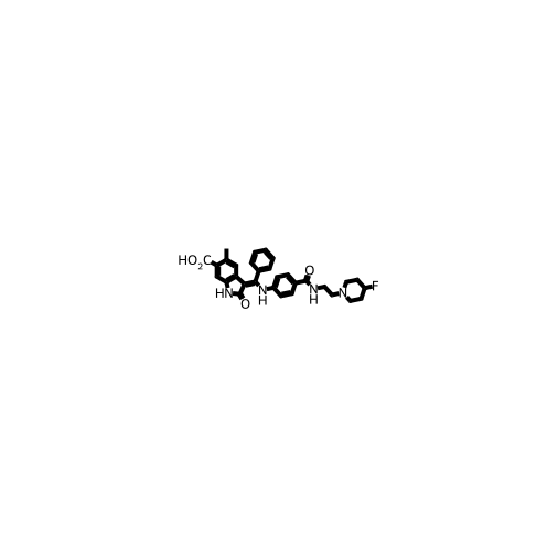 Cc1cc2c(cc1C(=O)O)NC(=O)/C2=C(\Nc1ccc(C(=O)NCCN2CCC(F)CC2)cc1)c1ccccc1